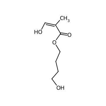 CC(=CO)C(=O)OCCCCO